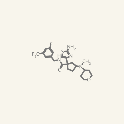 CN(C1CCOCC1)C1CCC(C(=O)NCc2cc(F)cc(C(F)(F)F)c2)(c2csc(N)n2)C1